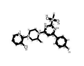 CC1CN(c2ncccc2Cl)CCN1c1cc(-c2ccc(F)cc2)nc(S(C)(=O)=O)n1